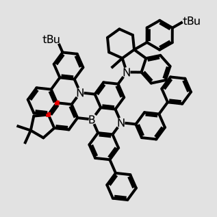 CC1(C)Cc2cc3c(cc2C1)N(c1ccc(C(C)(C)C)cc1-c1ccccc1)c1cc(N2c4ccccc4C4(c5ccc(C(C)(C)C)cc5)CCCCC24C)cc2c1B3c1ccc(-c3ccccc3)cc1N2c1cccc(-c2ccccc2)c1